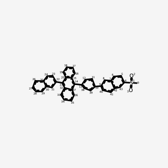 CS(=O)(=O)c1ccc2cc(-c3ccc(-c4c5ccccc5c(-c5ccc6ccccc6c5)c5ccccc45)cc3)ccc2c1